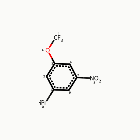 C[C](C)c1cc(OC(F)(F)F)cc([N+](=O)[O-])c1